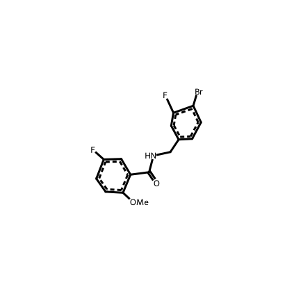 COc1ccc(F)cc1C(=O)NCc1ccc(Br)c(F)c1